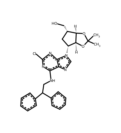 CC1(C)O[C@@H]2[C@@H](CO)C[C@@H](n3cnc4c(NCC(c5ccccc5)c5ccccc5)nc(Cl)nc43)[C@@H]2O1